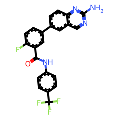 Nc1ncc2cc(-c3ccc(F)c(C(=O)Nc4ccc(C(F)(F)F)cc4)c3)ccc2n1